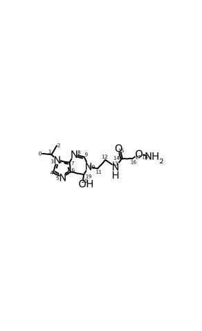 CC(C)n1cnc2c1N=CN(CCNC(=O)CON)C2O